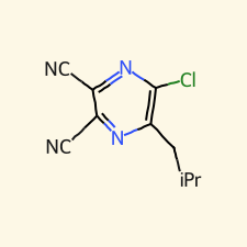 CC(C)Cc1nc(C#N)c(C#N)nc1Cl